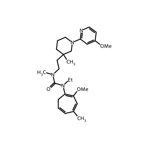 CCN(C(=O)N(C)CCC1(C)CCCN(c2cc(OC)ccn2)C1)C1=C(OC)C=C(C)C=CC1